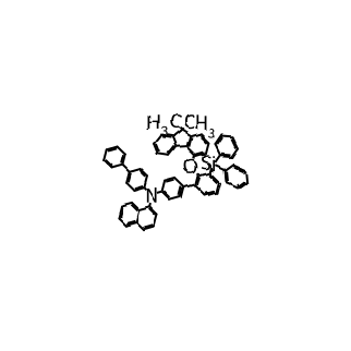 CC1(C)c2ccccc2-c2c1ccc1c2Oc2c(-c3ccc(N(c4ccc(-c5ccccc5)cc4)c4cccc5ccccc45)cc3)cccc2[Si]1(c1ccccc1)c1ccccc1